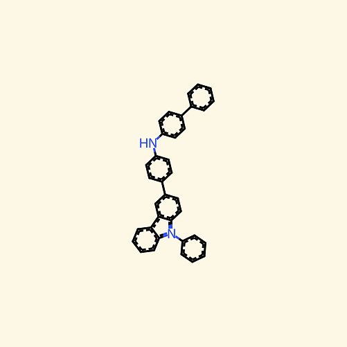 c1ccc(-c2ccc(Nc3ccc(-c4ccc5c(c4)c4ccccc4n5-c4ccccc4)cc3)cc2)cc1